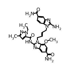 CCn1nc(C)cc1C(=O)Nc1nc2cc(C(N)=O)cc(OC)c2n1CC=CCn1c(N)nc2cc(C(N)=O)ccc21